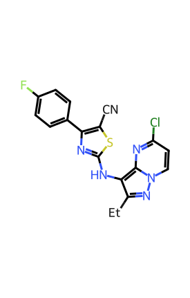 CCc1nn2ccc(Cl)nc2c1Nc1nc(-c2ccc(F)cc2)c(C#N)s1